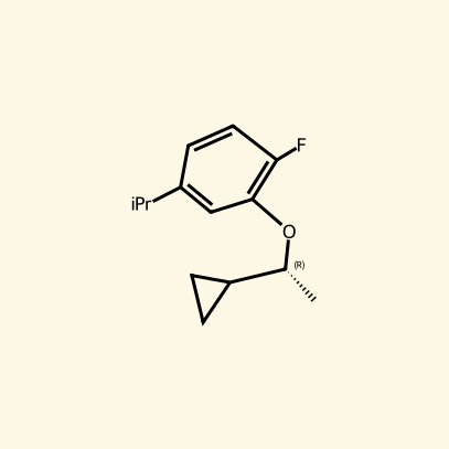 CC(C)c1ccc(F)c(O[C@H](C)C2CC2)c1